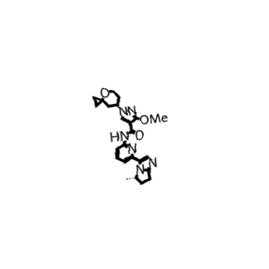 COc1nn(C2CCOC3(CC3)C2)cc1C(=O)Nc1cccc(-c2cnc3n2[C@@H](C)CC3)n1